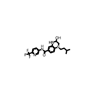 CC(C)CCN1CC(O)Nc2cc(C(=O)Nc3ccc(C(F)(F)F)nc3)ccc21